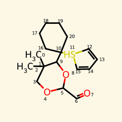 CC1(C)COC(C=O)OC1C1([SH]2C=CC=C2)CCCCC1